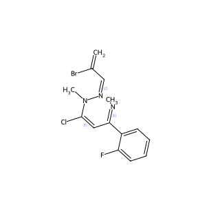 C=C(Br)/C=N\N(C)/C(Cl)=C\C(=N/C)c1ccccc1F